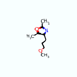 COCCCc1nc(C)oc1C